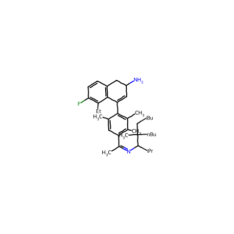 CCCCC(C)(CC(C)CC)C(/N=C(/C)c1cc(C)c(C2=CC(N)Cc3ccc(F)c(CC)c32)c(C)c1C)C(C)C